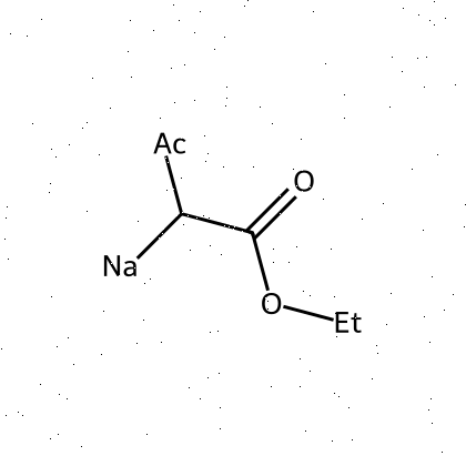 CCOC(=O)[CH]([Na])C(C)=O